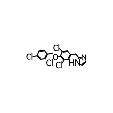 Clc1ccc(COc2c(Cl)cc(Cc3ncc[nH]3)cc2Cl)c(Cl)c1